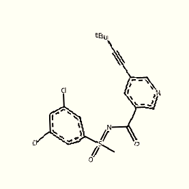 CC(C)(C)C#Cc1cncc(C(=O)N=S(C)(=O)c2cc(Cl)cc(Cl)c2)c1